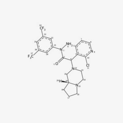 NN(C(=O)C(c1cccnc1Cl)N1CCN2CCC[C@@H]2C1)c1cc(C(F)(F)F)cc(C(F)(F)F)c1